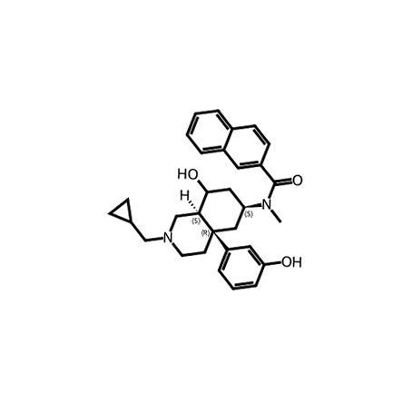 CN(C(=O)c1ccc2ccccc2c1)[C@@H]1CC(O)[C@@H]2CN(CC3CC3)CC[C@@]2(c2cccc(O)c2)C1